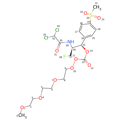 COCCOCCOCCOOC(=O)O[C@H](c1ccc(S(C)(=O)=O)cc1)[C@@H](CF)NC(=O)C(Cl)Cl